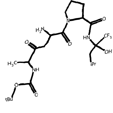 CC(C)CC(O)(NC(=O)C1CCCN1C(=O)C(N)CC(=O)C(C)NC(=O)OC(C)(C)C)C(F)(F)F